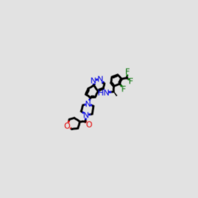 C[C@@H](Nc1cnnc2ccc(N3CCN(C(=O)C4CCOCC4)CC3)cc12)c1cccc(C(F)F)c1F